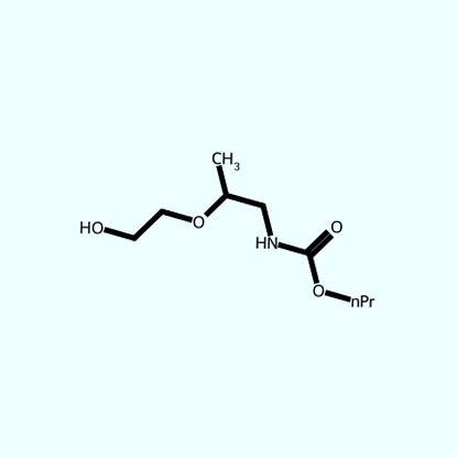 CCCOC(=O)NCC(C)OCCO